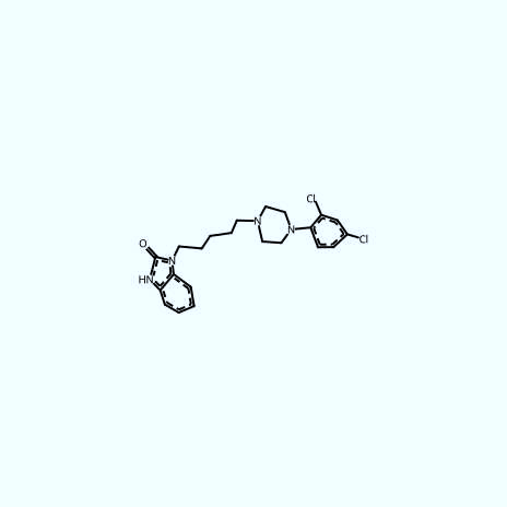 O=c1[nH]c2ccccc2n1CCCCCN1CCN(c2ccc(Cl)cc2Cl)CC1